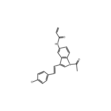 C=CC(=O)Nc1ccc2c(c1)c(/C=C/c1ccc(Cl)cc1)cn2C(C)=O